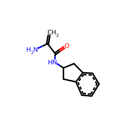 C=C(N)C(=O)NC1Cc2ccccc2C1